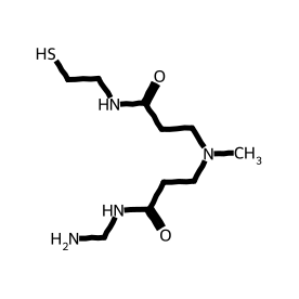 CN(CCC(=O)NCN)CCC(=O)NCCS